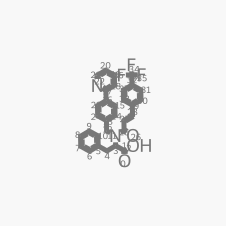 O=C(O)C(Cc1ccccc1)N(Cc1ccc(-c2ccccn2)cc1)C(=O)C=Cc1ccc(C(F)(F)F)cc1